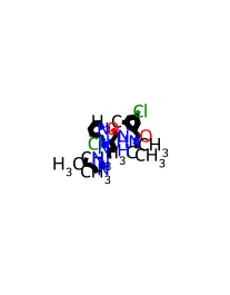 Cc1cc(Cl)cc(C(=O)NC(C)(C)C)c1NC(=O)c1cc(Cn2ncc(C(C)(C)C)n2)nn1-c1ncccc1Cl